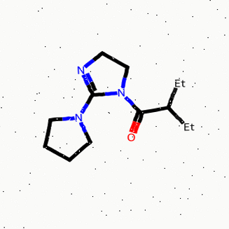 CCC(CC)C(=O)N1CCN=C1N1CCCC1